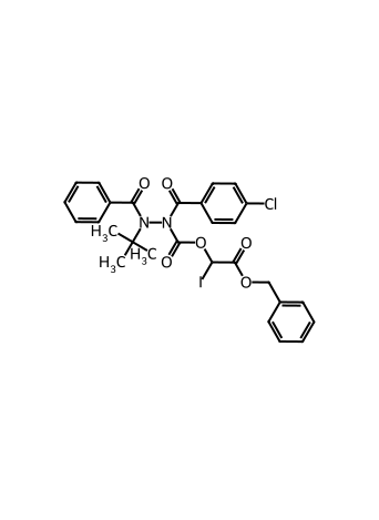 CC(C)(C)N(C(=O)c1ccccc1)N(C(=O)OC(I)C(=O)OCc1ccccc1)C(=O)c1ccc(Cl)cc1